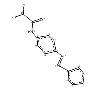 O=C(Nc1ccc(/N=N/c2ccccc2)cc1)C(I)I